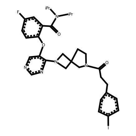 CC(C)N(C(=O)c1cc(F)ccc1Oc1cncnc1N1CC2(CCN(C(=O)CCc3ccc(I)cc3)C2)C1)C(C)C